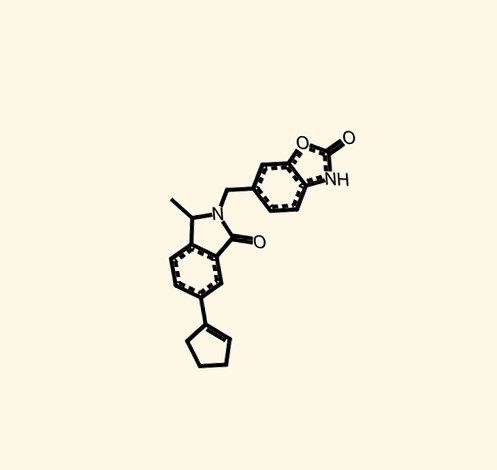 CC1c2ccc(C3=CCCC3)cc2C(=O)N1Cc1ccc2[nH]c(=O)oc2c1